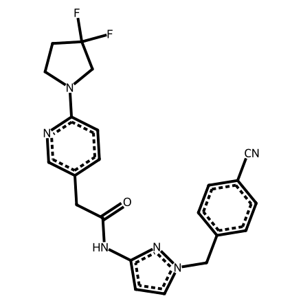 N#Cc1ccc(Cn2ccc(NC(=O)Cc3ccc(N4CCC(F)(F)C4)nc3)n2)cc1